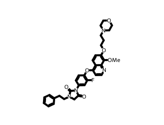 COc1c(OCCCN2CCOCC2)ccc2c(Oc3ccc(N4C(=O)CN(CCc5ccccc5)C4=O)cc3F)ccnc12